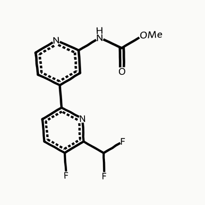 COC(=O)Nc1cc(-c2ccc(F)c(C(F)F)n2)ccn1